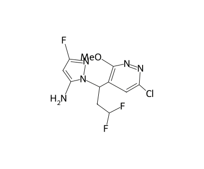 COc1nnc(Cl)cc1C(CC(F)F)n1nc(F)cc1N